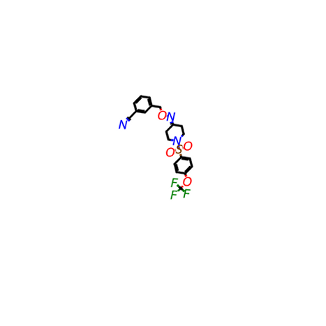 N#Cc1cccc(CON=C2CCN(S(=O)(=O)c3ccc(OC(F)(F)F)cc3)CC2)c1